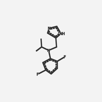 CC(C)N(Cc1cnc[nH]1)c1cc(F)ccc1F